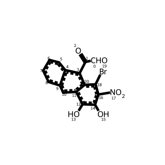 O=CC(=O)c1c2ccccc2cc2c(O)c(O)c([N+](=O)[O-])c(Br)c12